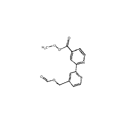 COOC(=O)c1ccnc(-c2cc(COC=O)ccn2)c1